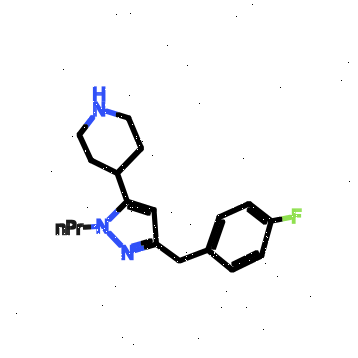 CCCn1nc(Cc2ccc(F)cc2)cc1C1CCNCC1